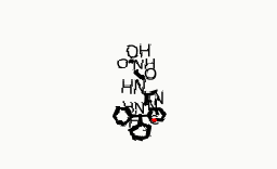 CCn1ncc(NC(=O)CNC(=O)O)c1NC(c1ccccc1)(c1ccccc1)c1ccccc1